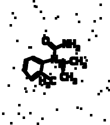 Cc1ccccc1N(C(N)=O)N(C)C